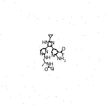 COC(=O)N[C@@H](C)CNc1nccc(-c2[nH]c(C3CC3)nc2-c2cnc(N)c(C(=O)F)c2)n1